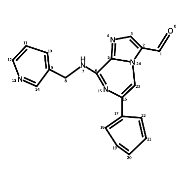 O=Cc1cnc2c(NCc3cccnc3)nc(-c3ccccc3)cn12